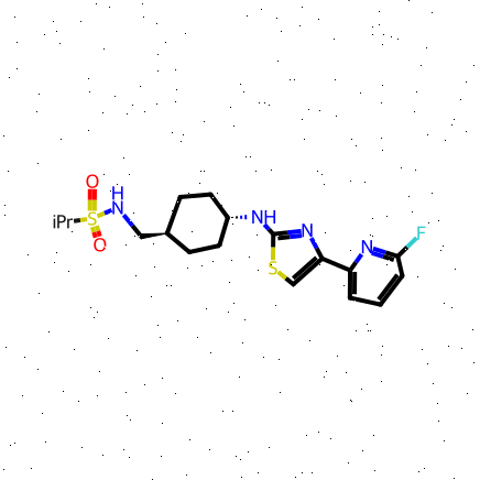 CC(C)S(=O)(=O)NC[C@H]1CC[C@H](Nc2nc(-c3cccc(F)n3)cs2)CC1